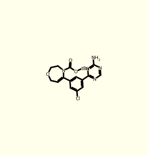 CC(C)(C)OC(=O)N1CCOCC=C1c1cc(Cl)cc(-c2ncnc(N)n2)c1